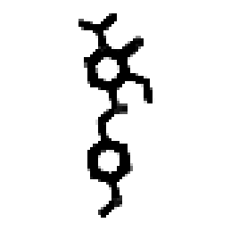 CCc1c(NCc2ccc(OC)cc2)cnn(C(C)C)c1=O